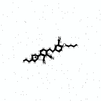 CCCCOc1ccc(CCc2ccc(C34CCC(CCC)(CC3)CC4)c(C#N)c2C#N)cc1C#N